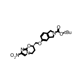 CC(C)(C)OC(=O)N1Cc2ccc(OC[C@H]3CCn4cc([N+](=O)[O-])nc4O3)cc2C1